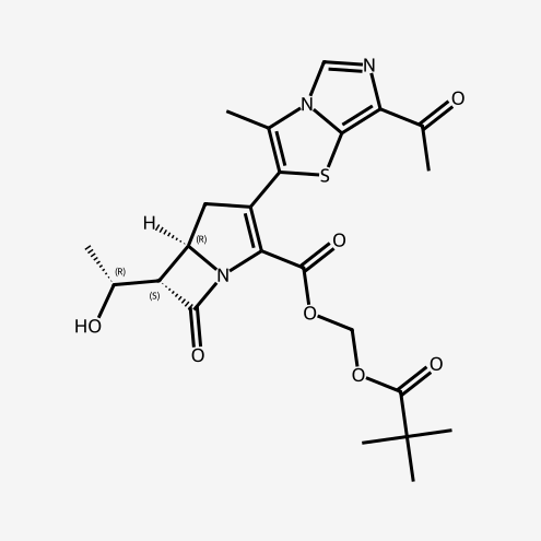 CC(=O)c1ncn2c(C)c(C3=C(C(=O)OCOC(=O)C(C)(C)C)N4C(=O)[C@H]([C@@H](C)O)[C@H]4C3)sc12